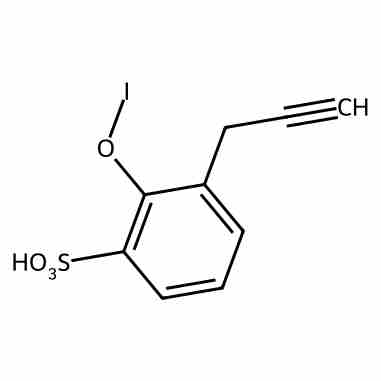 C#CCc1cccc(S(=O)(=O)O)c1OI